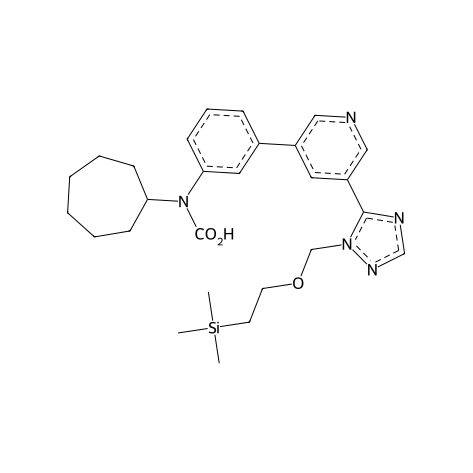 C[Si](C)(C)CCOCn1ncnc1-c1cncc(-c2cccc(N(C(=O)O)C3CCCCCC3)c2)c1